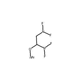 CCCOC(CN(F)F)N(F)F